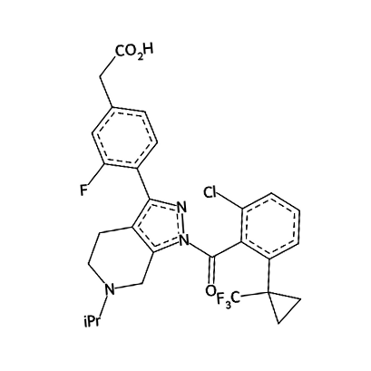 CC(C)N1CCc2c(-c3ccc(CC(=O)O)cc3F)nn(C(=O)c3c(Cl)cccc3C3(C(F)(F)F)CC3)c2C1